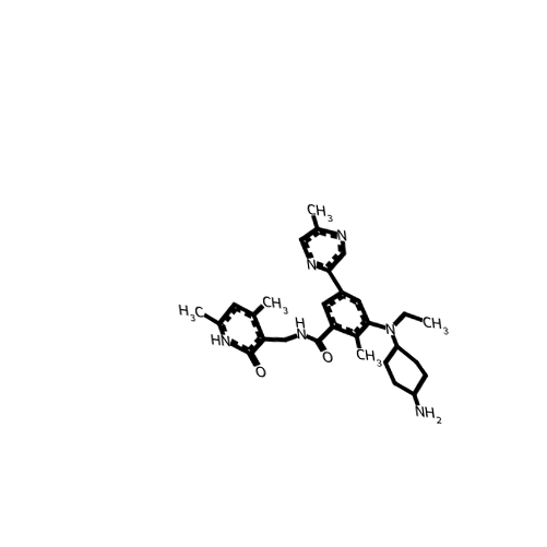 CCN(c1cc(-c2cnc(C)cn2)cc(C(=O)NCc2c(C)cc(C)[nH]c2=O)c1C)C1CCC(N)CC1